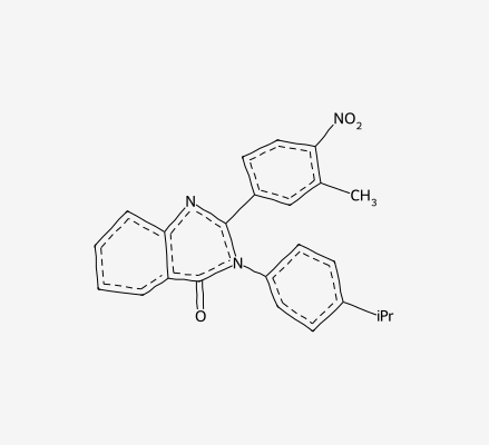 Cc1cc(-c2nc3ccccc3c(=O)n2-c2ccc(C(C)C)cc2)ccc1[N+](=O)[O-]